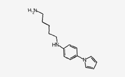 NCCCCCNc1ccc(-n2cccc2)cc1